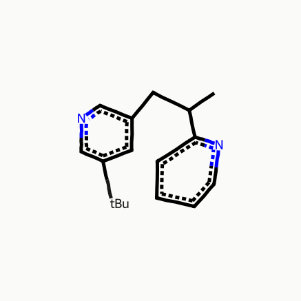 CC(Cc1cncc(C(C)(C)C)c1)c1ccccn1